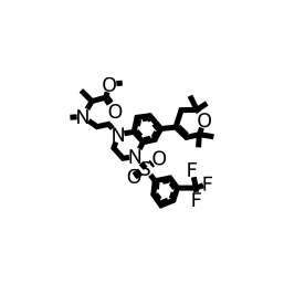 COC(=O)C(C)N(C)CCN1CCN(S(=O)(=O)c2cccc(C(F)(F)F)c2)c2cc(C3=CC(C)(C)OC(C)(C)C3)ccc21